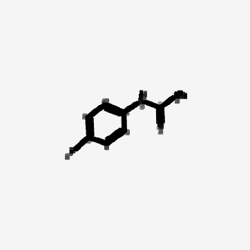 CC(C)(C)C(=S)Nc1ccc(F)cc1